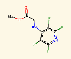 CC(C)(C)OC(=O)CNc1c(F)c(F)nc(F)c1F